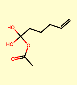 C=CCCCC(O)(O)OC(C)=O